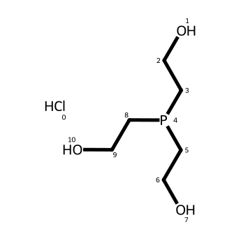 Cl.OCCP(CCO)CCO